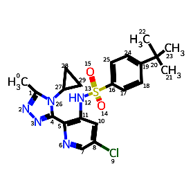 Cc1nnc(-c2ncc(Cl)cc2NS(=O)(=O)c2ccc(C(C)(C)C)cc2)n1C1CC1